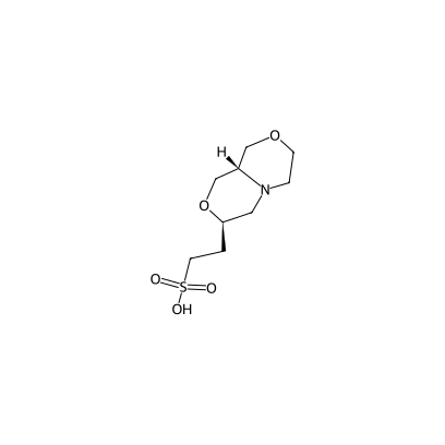 O=S(=O)(O)CC[C@@H]1CN2CCOC[C@H]2CO1